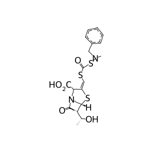 C[C@@H](O)[C@H]1C(=O)N2C(C(=O)O)/C(=C\SC(=O)SN(C)Cc3ccccc3)S[C@H]12